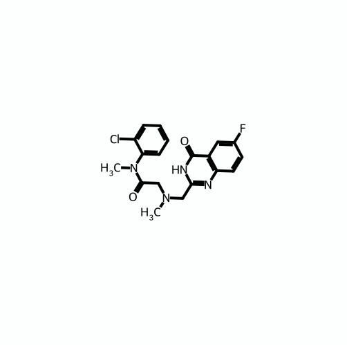 CN(CC(=O)N(C)c1ccccc1Cl)Cc1nc2ccc(F)cc2c(=O)[nH]1